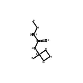 CCNC(=O)OC1(C)CCC1